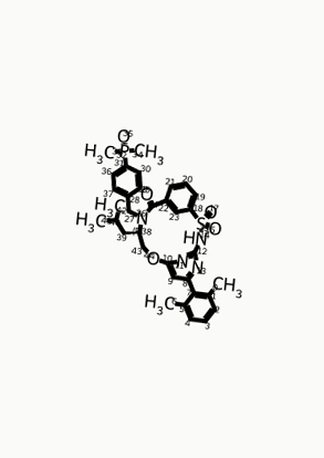 Cc1cccc(C)c1-c1cc2nc(n1)NS(=O)(=O)c1cccc(c1)C(=O)N(Cc1ccc(P(C)(C)=O)cc1)[C@H](CC(C)C)CO2